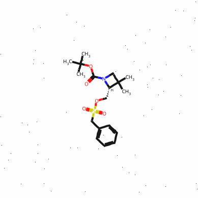 CC(C)(C)OC(=O)N1CC(C)(C)[C@@H]1COS(=O)(=O)Cc1ccccc1